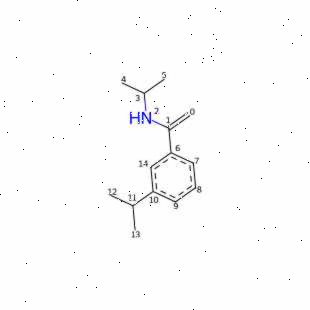 C=C(NC(C)C)c1cccc(C(C)C)c1